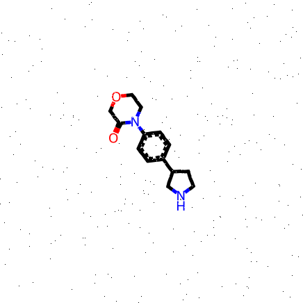 O=C1COCCN1c1ccc(C2CCNC2)cc1